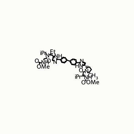 CC[C@@H](c1cnc(-c2ccc(-c3ccc(-c4ncc([C@@H]5CCC(C)N5C(=O)[C@@H](NC(=O)OC)C(C)C)[nH]4)cc3)cc2)[nH]1)N(C(=O)CNC(=O)OC)C(C)C